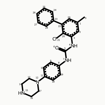 Cc1cc(NC(=O)Nc2ccc(N3CCNCC3)cc2)c(Cl)c(-c2ccccc2)c1